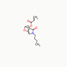 C=CC(=O)OC1C2CC3C(=O)N(CCCC)C1C3O2